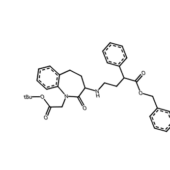 CC(C)(C)OC(=O)CN1C(=O)C(NCCC(C(=O)OCc2ccccc2)c2ccccc2)CCc2ccccc21